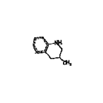 CC1CNc2ccc[c]c2C1